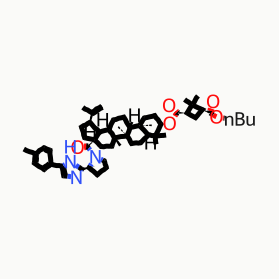 C=C(C)[C@@H]1CC[C@]2(C(=O)N3CCC[C@H]3c3ncc(-c4ccc(C)cc4)[nH]3)CC[C@]3(C)[C@H](CC[C@@H]4[C@@]5(C)CC[C@H](OC(=O)[C@H]6C[C@@H](C(=O)OCCCC)C6(C)C)C(C)(C)[C@@H]5CC[C@]43C)[C@@H]12